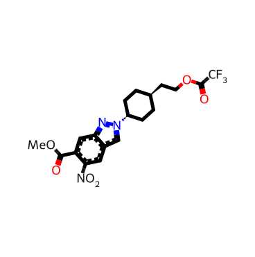 COC(=O)c1cc2nn([C@H]3CC[C@H](CCOC(=O)C(F)(F)F)CC3)cc2cc1[N+](=O)[O-]